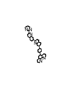 c1cnc(-c2ccc3ccc(-c4ccc5ccc(-c6ccc(-c7cc8cccnc8c8ncccc78)cc6)cc5n4)cc3n2)nc1